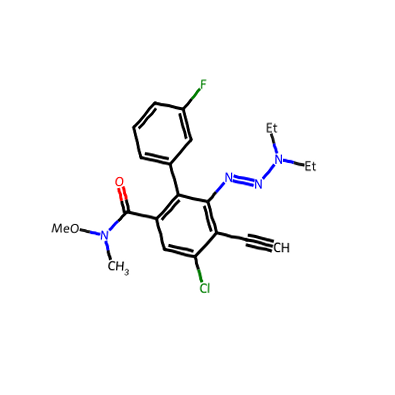 C#Cc1c(Cl)cc(C(=O)N(C)OC)c(-c2cccc(F)c2)c1N=NN(CC)CC